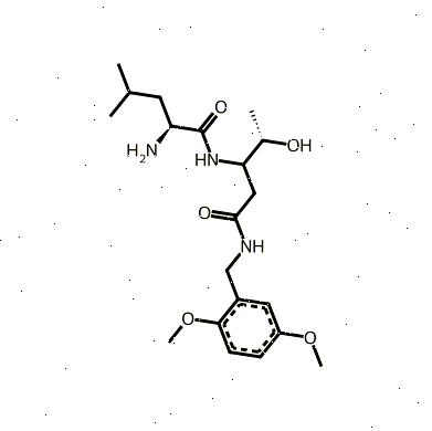 COc1ccc(OC)c(CNC(=O)CC(NC(=O)[C@@H](N)CC(C)C)[C@H](C)O)c1